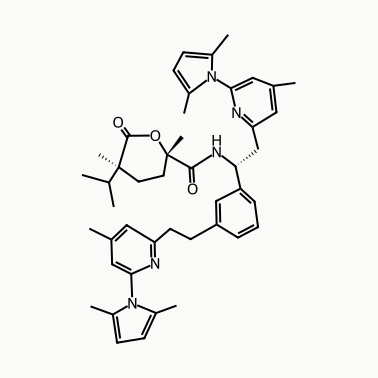 Cc1cc(CCc2cccc([C@@H](Cc3cc(C)cc(-n4c(C)ccc4C)n3)NC(=O)[C@]3(C)CC[C@@](C)(C(C)C)C(=O)O3)c2)nc(-n2c(C)ccc2C)c1